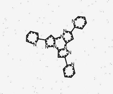 c1ccc(-c2cc3n(n2)c2cc(-c4ccccn4)nn2c2cc(-c4ccccn4)nn32)nc1